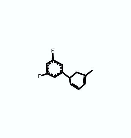 CC1=CC=CC(c2cc(F)cc(F)c2)C1